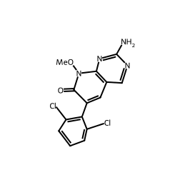 COn1c(=O)c(-c2c(Cl)cccc2Cl)cc2cnc(N)nc21